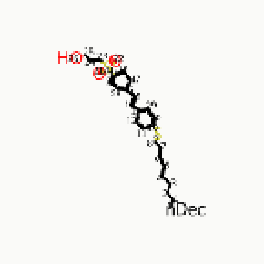 CCCCCCCCCCCCCCCCCCSc1ccc(C=Cc2ccc(S(=O)(=O)CCCO)cc2)cc1